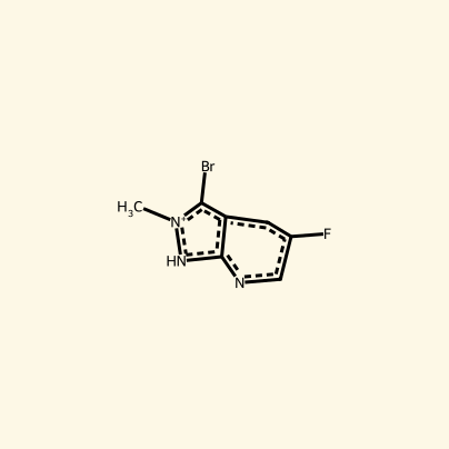 C[n+]1[nH]c2ncc(F)cc2c1Br